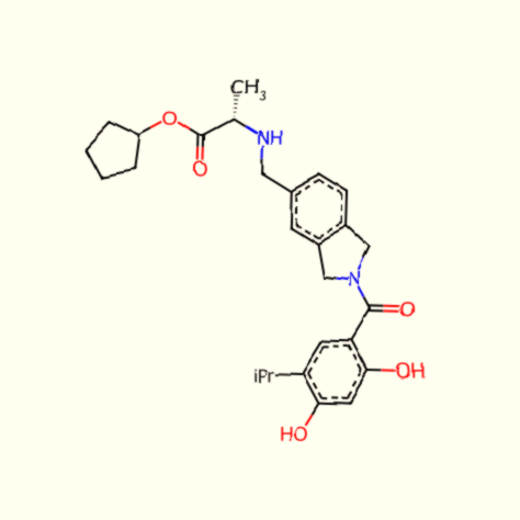 CC(C)c1cc(C(=O)N2Cc3ccc(CN[C@@H](C)C(=O)OC4CCCC4)cc3C2)c(O)cc1O